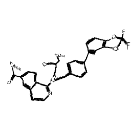 COC(=O)c1ccc2c(N(Cc3ccc(-c4ccc5c(c4)OC(F)(F)O5)cc3)C(=O)CC(C)(C)C)nccc2c1